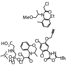 C#CCOc1cc(-n2nc(C(C)(C)C)oc2=O)c(Cl)cc1Cl.CC1COc2ccccc2N1C(=O)C(Cl)Cl.CCc1cccc(C)c1N(C(=O)CCl)C(C)COC.C[S+](C)C.O=C(O)CNCP(=O)([O-])O